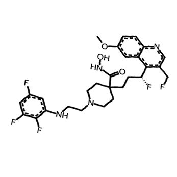 COc1ccc2ncc(CF)c([C@H](F)CCC3(C(=O)NO)CCN(CCNc4cc(F)cc(F)c4F)CC3)c2c1